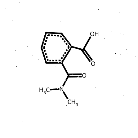 CN(C)C(=O)c1ccccc1C(=O)O